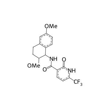 COc1ccc2c(c1)CCC(OC)C2NC(=O)c1ccc(C(F)(F)F)[nH]c1=O